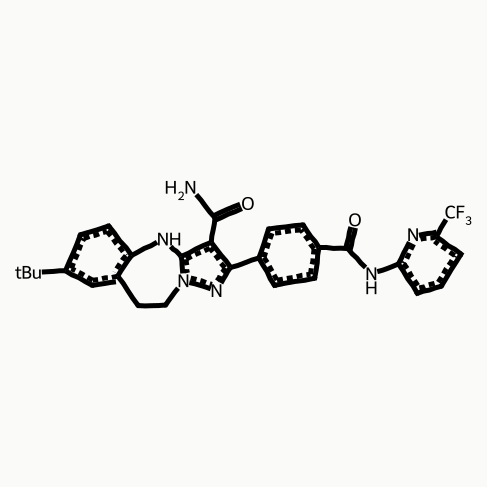 CC(C)(C)c1ccc2c(c1)CCn1nc(-c3ccc(C(=O)Nc4cccc(C(F)(F)F)n4)cc3)c(C(N)=O)c1N2